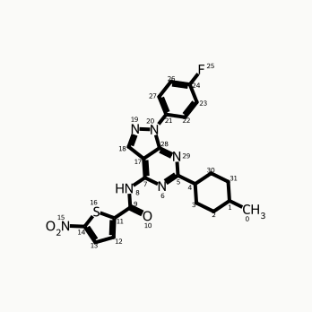 CC1CCC(c2nc(NC(=O)c3ccc([N+](=O)[O-])s3)c3cnn(-c4ccc(F)cc4)c3n2)CC1